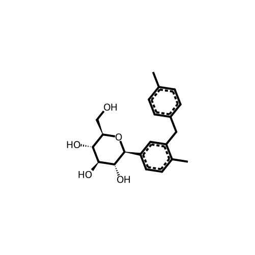 Cc1ccc(Cc2cc([C@@H]3O[C@H](CO)[C@@H](O)[C@H](O)[C@H]3O)ccc2C)cc1